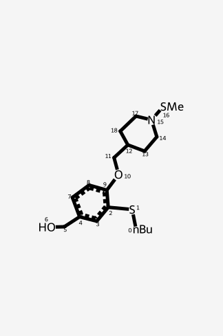 CCCCSc1cc(CO)ccc1OCC1CCN(SC)CC1